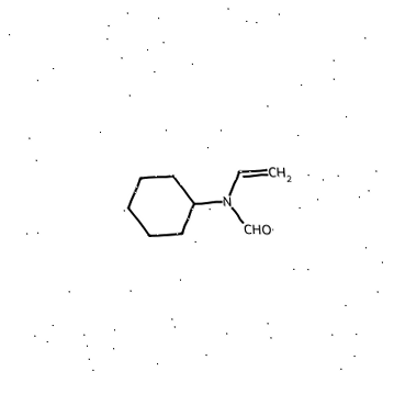 C=CN([C]=O)C1CCCCC1